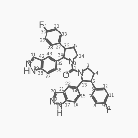 O=C(N1CCC(c2ccc(F)cc2)C1c1ccc2[nH]ncc2c1)N1CCC(c2ccc(F)cc2)C1c1ccc2[nH]ncc2c1